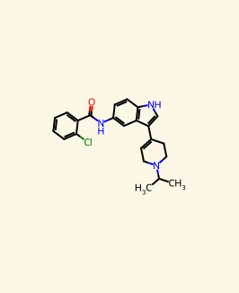 CC(C)N1CC=C(c2c[nH]c3ccc(NC(=O)c4ccccc4Cl)cc23)CC1